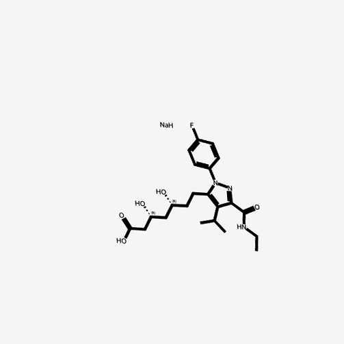 CCNC(=O)c1nn(-c2ccc(F)cc2)c(CC[C@@H](O)C[C@@H](O)CC(=O)O)c1C(C)C.[NaH]